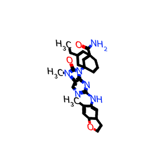 CCC1CC2(C(N)=O)CCCC(n3c(=O)n(C)c4cnc(NC5=CC6CCOC6C=C5C)nc43)(C1)C2